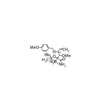 C=C[C@H](OCc1ccc(OC)cc1)C(OC)[C@](C)(O[Si](C)(C)C(C)(C)C)C(N)=O